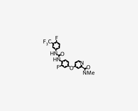 CNC(=O)c1cc(Oc2ccc(NC(=O)Nc3ccc(F)c(C(F)(F)F)c3)c(F)c2)ccn1